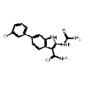 NC(=O)Nc1[nH]c2cc(-c3cccc(Cl)c3)ccc2c1C(N)=O